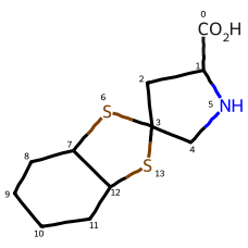 O=C(O)C1CC2(CN1)SC1CCCCC1S2